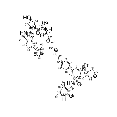 CCN(c1cc(-c2ccc(CCCOCCOCC(=O)N[C@H](C(=O)N3C[C@H](O)C[C@H]3C(O)N[C@@H](C)c3ccc(-c4scnc4C)cc3)C(C)(C)C)cc2)cc(C(=O)NCc2c(C)cc(C)[nH]c2=O)c1C)C1CCOCC1